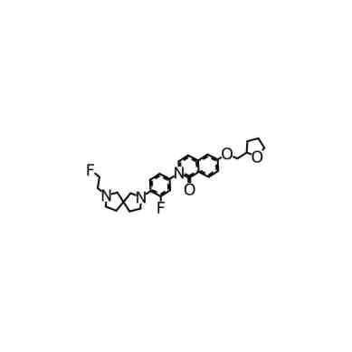 O=c1c2ccc(OCC3CCCO3)cc2ccn1-c1ccc(N2CCC3(CCN(CCF)C3)C2)c(F)c1